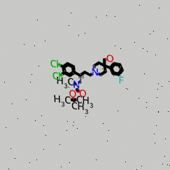 CN(C[C@@H](CCN1CCC2(CC1)COc1ccc(F)cc12)c1ccc(Cl)c(Cl)c1)C(=O)OC(C)(C)C